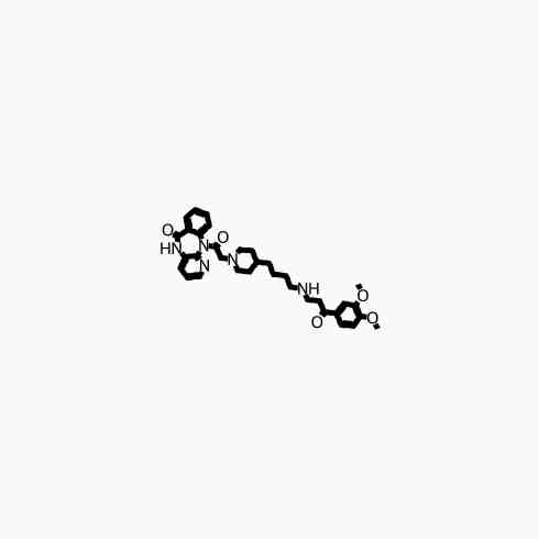 COc1ccc(C(=O)CCNCCCCC2CCN(CC(=O)N3c4ccccc4C(=O)Nc4cccnc43)CC2)cc1OC